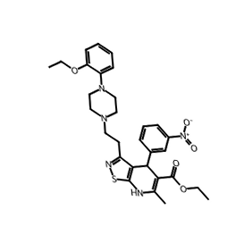 CCOC(=O)C1=C(C)Nc2snc(CCN3CCN(c4ccccc4OCC)CC3)c2C1c1cccc([N+](=O)[O-])c1